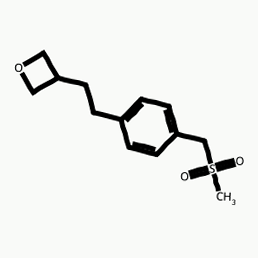 CS(=O)(=O)Cc1ccc(CCC2COC2)cc1